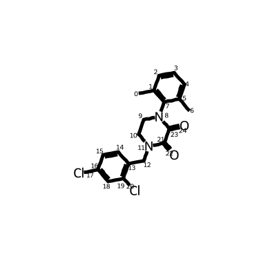 Cc1cccc(C)c1N1CCN(Cc2ccc(Cl)cc2Cl)C(=O)C1=O